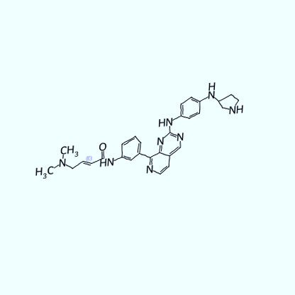 CN(C)C/C=C/C(=O)Nc1cccc(-c2nccc3cnc(Nc4ccc(NC5CCNC5)cc4)nc23)c1